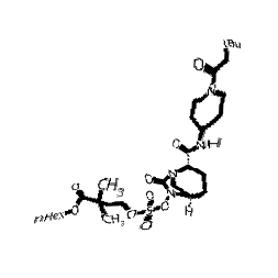 CCCCCCOC(=O)C(C)(C)COS(=O)(=O)ON1C(=O)N2C[C@H]1CC[C@H]2C(=O)NC1CCN(C(=O)CC(C)(C)C)CC1